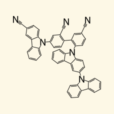 N#Cc1ccc(-n2c3ccccc3c3cc(-n4c5ccccc5c5ccccc54)ccc32)c(-c2ccc(-n3c4ccccc4c4cc(C#N)ccc43)cc2C#N)c1